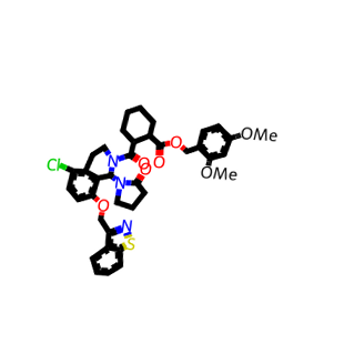 COc1ccc(COC(=O)C2CCCCC2C(=O)N2CCc3c(Cl)ccc(OCc4nsc5ccccc45)c3C2N2CCCC2=O)c(OC)c1